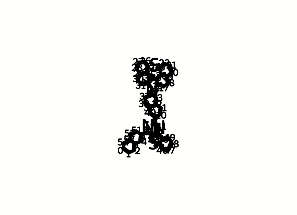 c1ccc2cc(-c3nc(-c4ccc5cc(-n6c7ccc8cccc9sc%10cccc%11ccc6c(c%11%10)c7c89)ccc5c4)nc4c3sc3ccccc34)ccc2c1